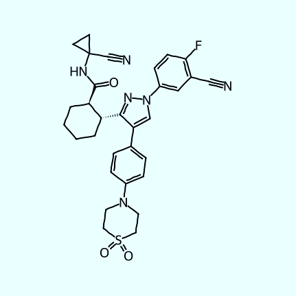 N#Cc1cc(-n2cc(-c3ccc(N4CCS(=O)(=O)CC4)cc3)c([C@@H]3CCCC[C@H]3C(=O)NC3(C#N)CC3)n2)ccc1F